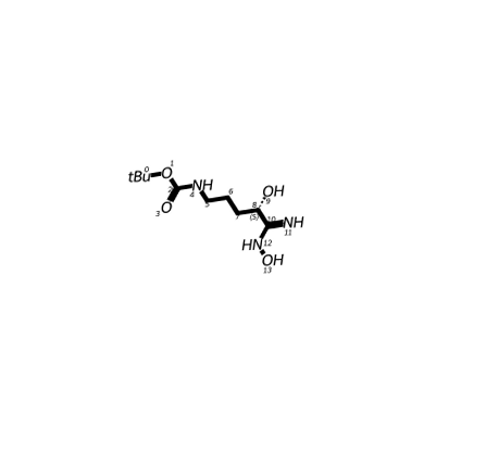 CC(C)(C)OC(=O)NCCC[C@H](O)C(=N)NO